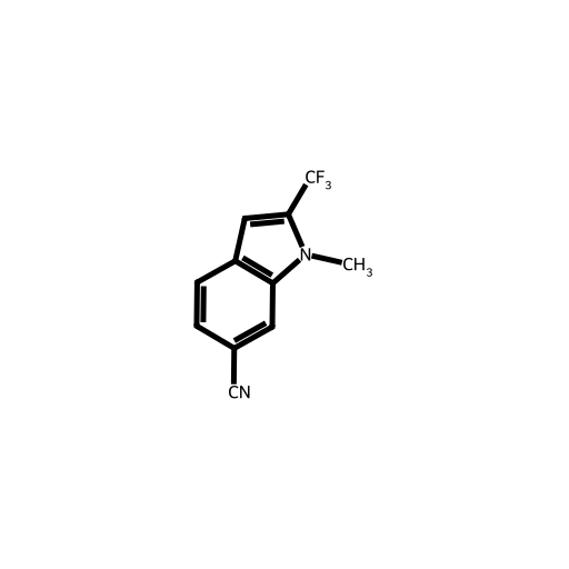 Cn1c(C(F)(F)F)cc2ccc(C#N)cc21